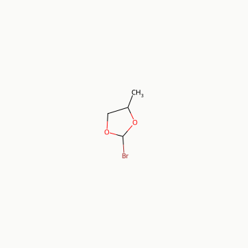 CC1COC(Br)O1